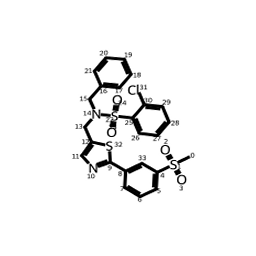 CS(=O)(=O)c1cccc(-c2ncc(CN(Cc3ccccc3)S(=O)(=O)c3ccccc3Cl)s2)c1